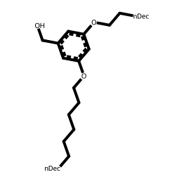 CCCCCCCCCCCCCCCCOc1cc(CO)cc(OCCCCCCCCCCCC)c1